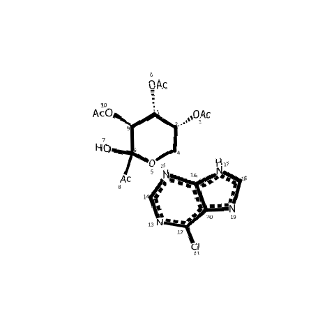 CC(=O)O[C@@H]1[C@H](OC(C)=O)COC(O)(C(C)=O)[C@H]1OC(C)=O.Clc1ncnc2[nH]cnc12